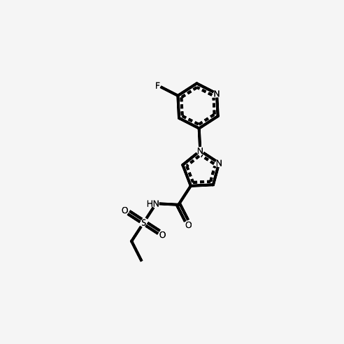 CCS(=O)(=O)NC(=O)c1cnn(-c2cncc(F)c2)c1